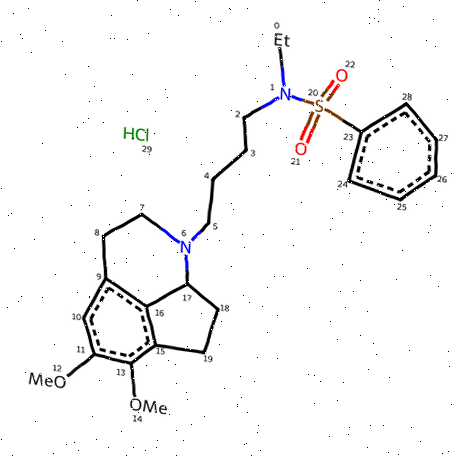 CCN(CCCCN1CCc2cc(OC)c(OC)c3c2C1CC3)S(=O)(=O)c1ccccc1.Cl